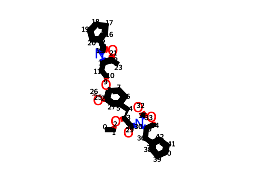 CCO[C@@H](Cc1ccc(OCCc2nc(-c3ccccc3)oc2C)c(OC)c1)C(=O)N1C(=O)OCC1Cc1ccccc1